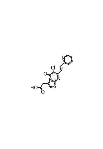 O=C(O)Cc1csc2nc(/C=C/c3ccccn3)c(Cl)c(=O)n12